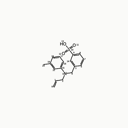 C=CCN(Cc1cccc(S(=O)(=O)O)c1)c1cccc(C)c1